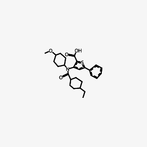 CCC1CCC(C(=O)N(c2cc(-c3ccccc3)sc2C(=O)O)C2CCC(OC)CC2)CC1